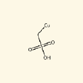 O=S(=O)(O)[CH2][Cu]